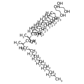 C=C.C=C.C=C.C=C.C=C.C=C.C=C.C=C.C=C.C=C.C=C.C=C.C=C.C=C.C=C(C)C(=O)O.C=C(C)C(=O)O.C=CC.C=CC.OCCO.OCCO